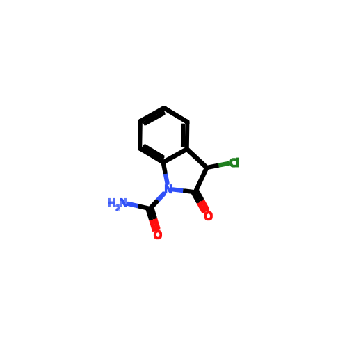 NC(=O)N1C(=O)C(Cl)c2ccccc21